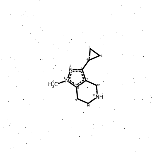 Cn1nc(C2CC2)c2c1CCNC2